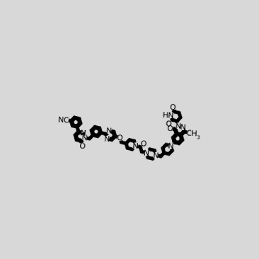 Cc1nn(C2CCC(=O)NC2=O)c(=O)c2cc(N3CCC(CN4CCN(CC(=O)N5CCC(COc6cnc(-c7cccc(Cn8nc(-c9cccc(C#N)c9)ccc8=O)c7)nc6)CC5)CC4)CC3)ccc12